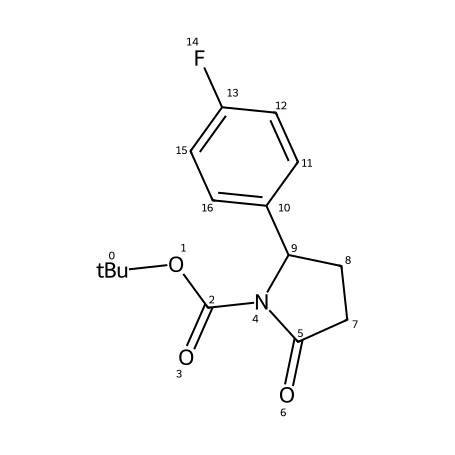 CC(C)(C)OC(=O)N1C(=O)CCC1c1ccc(F)cc1